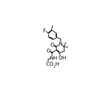 Cc1cc(CN2C(=O)C(C(=O)NCC(=O)O)=C(O)CC2(C)C)ccc1F